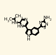 CC(C)NC1C=NC=C(c2c[nH]c3ccc(-c4nc(N)ns4)cc23)N1